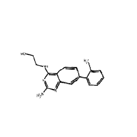 Cc1ccccc1-c1ccc2c(NCCO)nc(N)nc2c1